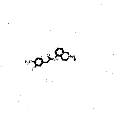 C=NN1CCc2c(cccc2NC(=O)Cc2ccc(C(F)(F)F)c(F)c2)C1